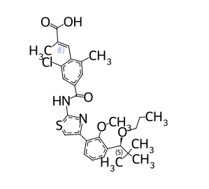 CCCO[C@H](c1cccc(-c2csc(NC(=O)c3cc(C)c(/C=C(\C)C(=O)O)c(Cl)c3)n2)c1OC)C(C)(C)C